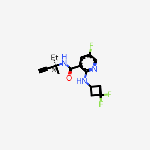 C#C[C@@](C)(CC)NC(=O)c1cc(F)cnc1NC1CC(F)(F)C1